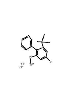 CC(C)(C)c1cc(Cl)cc([O][Ti+2])c1-c1ccccc1.[Cl-].[Cl-]